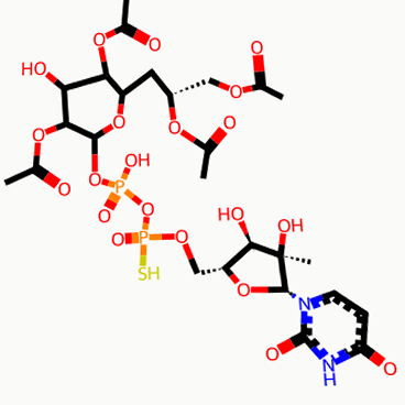 CC(=O)OC[C@@H](CC1OC(OP(=O)(O)OP(=O)(S)OC[C@H]2O[C@@H](n3ccc(=O)[nH]c3=O)[C@](C)(O)[C@@H]2O)C(OC(C)=O)C(O)C1OC(C)=O)OC(C)=O